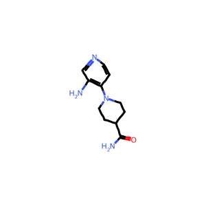 NC(=O)C1CCN(c2ccncc2N)CC1